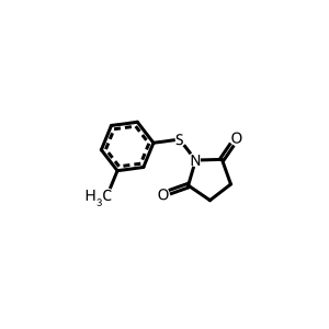 Cc1cccc(SN2C(=O)CCC2=O)c1